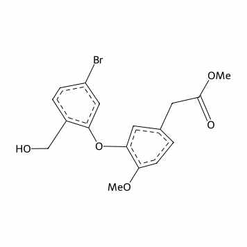 COC(=O)Cc1ccc(OC)c(Oc2cc(Br)ccc2CO)c1